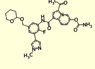 CC(=O)c1cc(C(=O)Nc2cc(COC3CCCCO3)cc(-c3cnn(C)c3)c2F)c2ccc(OC(N)=O)cn12